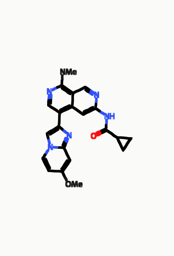 CNc1ncc(-c2cn3ccc(OC)cc3n2)c2cc(NC(=O)C3CC3)ncc12